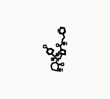 O=C(NCCc1cccnc1)c1ccc(CN([C@@H]2CCCCNC2=O)S(=O)(=O)c2ccc(Cl)cc2)s1